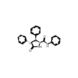 O=C1NN(C(=O)Nc2ccccc2)[C@H](c2ccccc2)[C@H]1c1ccccc1